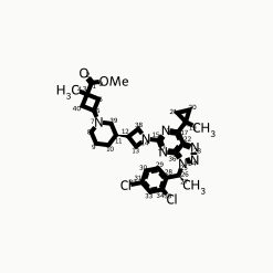 COC(=O)C1(C)CC(N2CCC[C@H](C3CN(c4nc(C5(C)CC5)c5nnn([C@H](C)c6ccc(Cl)cc6Cl)c5n4)C3)C2)C1